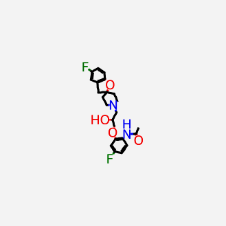 CC(=O)Nc1ccc(F)cc1OC[C@@H](O)CN1CCC2(CC1)Cc1cc(F)ccc1O2